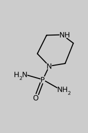 NP(N)(=O)N1CCNCC1